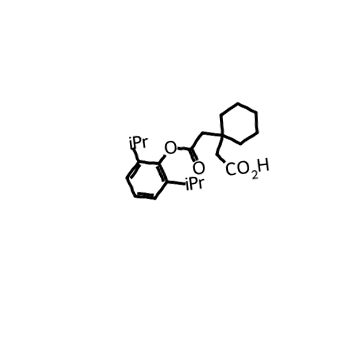 CC(C)c1cccc(C(C)C)c1OC(=O)CC1(CC(=O)O)CCCCC1